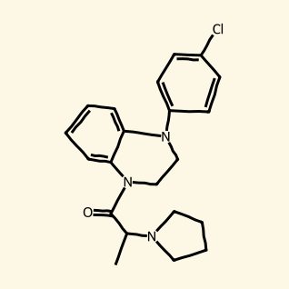 CC(C(=O)N1CCN(c2ccc(Cl)cc2)c2ccccc21)N1CCCC1